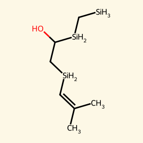 CC(C)=C[SiH2]CC(O)[SiH2]C[SiH3]